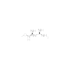 CONC(=N)NC(=N)N